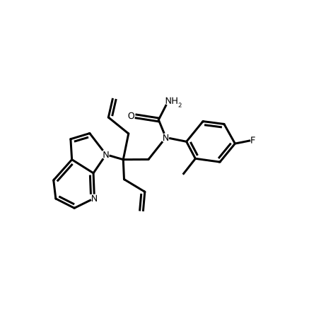 C=CCC(CC=C)(CN(C(N)=O)c1ccc(F)cc1C)n1ccc2cccnc21